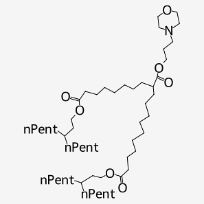 CCCCCC(CCCCC)CCOC(=O)CCCCCCCCCC(CCCCCCCC(=O)OCCC(CCCCC)CCCCC)C(=O)OCCCN1CCOCC1